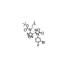 CSCCN(C(=O)OC(C)(C)C)c1nonc1-c1noc(=O)n1-c1ccc(F)c(Br)c1